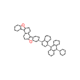 c1ccc(-c2c3ccccc3c(-c3ccc(-c4ccc5c(c4)oc4ccc6c(ccc7oc8ccccc8c76)c45)c4ccccc34)c3ccccc23)cc1